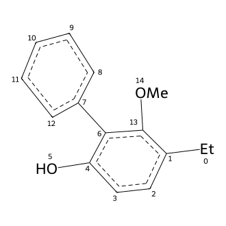 CCc1ccc(O)c(-c2ccccc2)c1OC